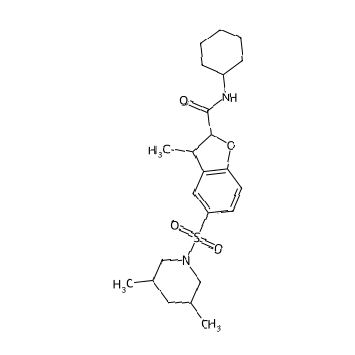 CC1CC(C)CN(S(=O)(=O)c2ccc3c(c2)C(C)C(C(=O)NC2CCCCC2)O3)C1